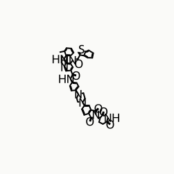 Cc1ccccc1Nc1ncc(C(=O)Nc2ccc(N3CCN(c4ccc5c(c4)C(=O)N(C4CCC(=O)NC4=O)C5=O)CC3)cc2)cc1NC(=O)c1csc2ccccc12